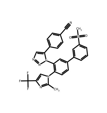 Cc1nc(C(F)(F)F)cn1-c1ccc(-c2cccc(S(C)(=O)=O)c2)cc1-n1nncc1-c1ccc(C#N)cc1